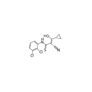 N#CC(C(=S)Nc1cccc(Cl)c1Cl)=C(O)C1CC1